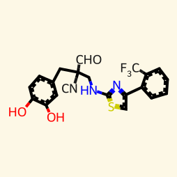 N#CC(C=O)(CNc1nc(-c2ccccc2C(F)(F)F)cs1)Cc1ccc(O)c(O)c1